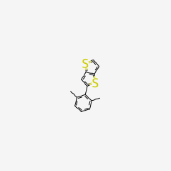 Cc1cccc(C)c1-c1cc2sccc2s1